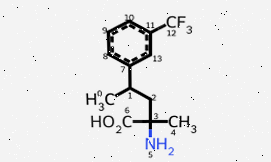 CC(CC(C)(N)C(=O)O)c1cccc(C(F)(F)F)c1